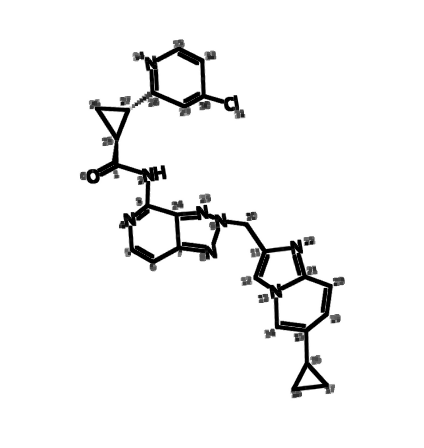 O=C(Nc1nccc2nn(Cc3cn4cc(C5CC5)ccc4n3)nc12)[C@H]1C[C@@H]1c1cc(Cl)ccn1